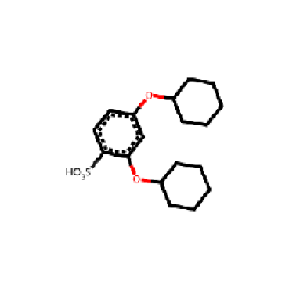 O=S(=O)(O)c1ccc(OC2CCCCC2)cc1OC1CCCCC1